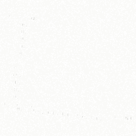 C.C.C.C.C.C.C.C.C.C.C.C.C.C.C.C.C.C.C.C.C.C.C.C.N=C=O.N=C=O